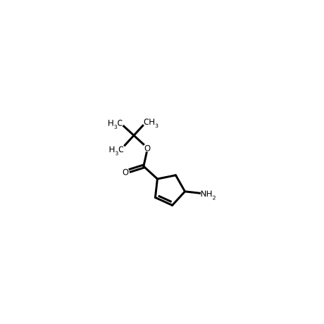 CC(C)(C)OC(=O)C1C=CC(N)C1